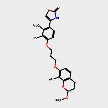 CCCc1c(OCCCOc2ccc(-c3csc(=S)[nH]3)c(OC)c2CCC)ccc2c1OC(OC(=O)O)CC2